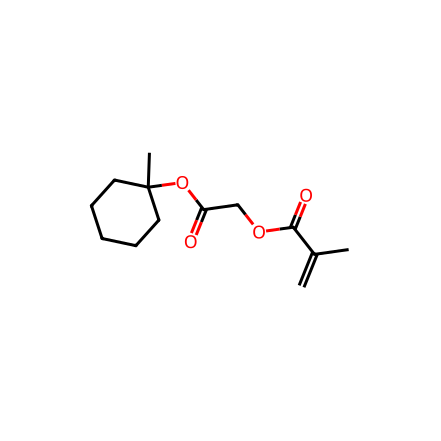 C=C(C)C(=O)OCC(=O)OC1(C)CCCCC1